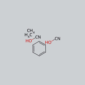 C.C.N#CO.N#CO.c1ccccc1